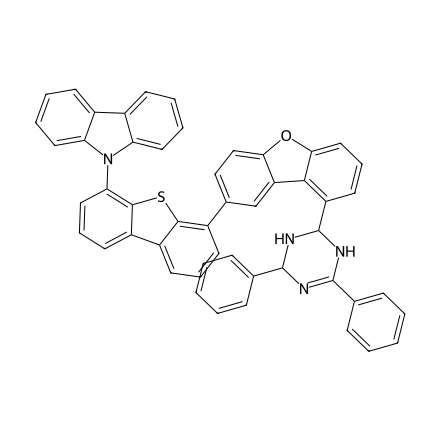 c1ccc(C2=NC(c3ccccc3)NC(c3cccc4oc5ccc(-c6cccc7c6sc6c(-n8c9ccccc9c9ccccc98)cccc67)cc5c34)N2)cc1